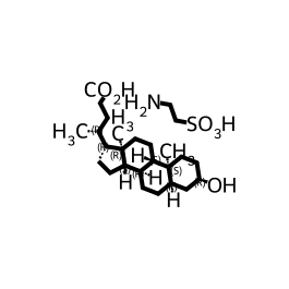 C[C@H](CCC(=O)O)[C@H]1CC[C@H]2[C@@H]3CC[C@@H]4C[C@H](O)CC[C@]4(C)[C@H]3CC[C@]12C.NCCS(=O)(=O)O